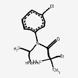 CCCCCC(C)N(C(=O)C(C)(C)CC)c1cccc(CC)c1